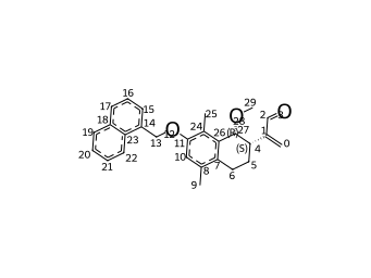 C=C(C=O)[C@@H]1CCc2c(C)cc(OCc3cccc4ccccc34)c(C)c2[C@@H]1OC